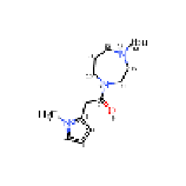 Cn1cccc1CC(=O)N1CCCN(C(C)(C)C)CC1